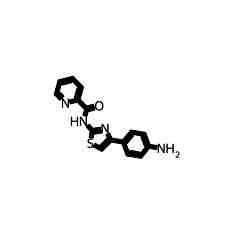 Nc1ccc(-c2csc(NC(=O)c3ccccn3)n2)cc1